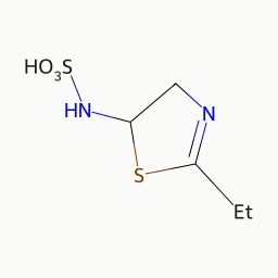 CCC1=NCC(NS(=O)(=O)O)S1